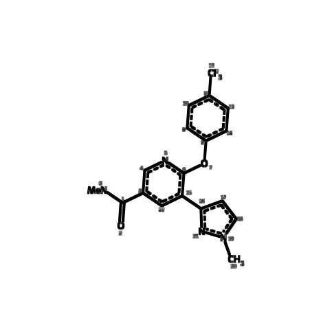 CNC(=O)c1cnc(Oc2ccc(C(F)(F)F)cc2)c(-c2ccn(C)n2)c1